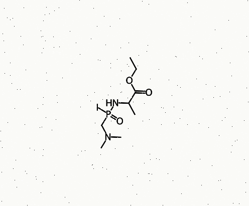 CCOC(=O)C(C)NP(=O)(I)CN(C)C